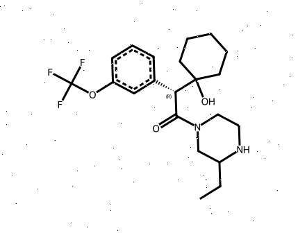 CCC1CN(C(=O)[C@H](c2cccc(OC(F)(F)F)c2)C2(O)CCCCC2)CCN1